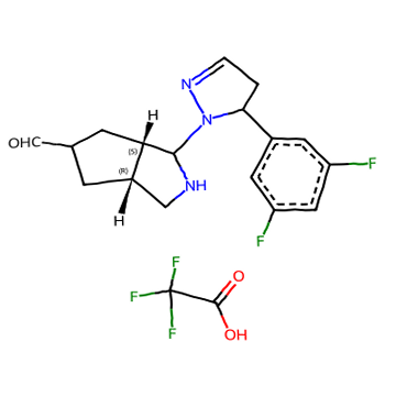 O=C(O)C(F)(F)F.O=CC1C[C@H]2CNC(N3N=CCC3c3cc(F)cc(F)c3)[C@H]2C1